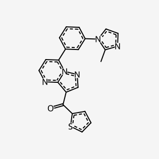 Cc1nccn1-c1cccc(-c2ccnc3c(C(=O)c4cccs4)cnn23)c1